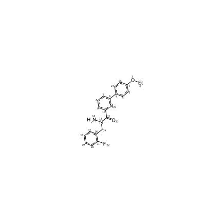 CCOc1ccc(-c2cccc(C(=O)N(N)Cc3ccccc3F)n2)cc1